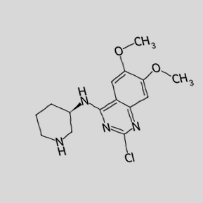 COc1cc2nc(Cl)nc(N[C@@H]3CCCNC3)c2cc1OC